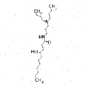 CCCCCCCC(O)CCC(=O)NCCCN(CCCC)CCCC